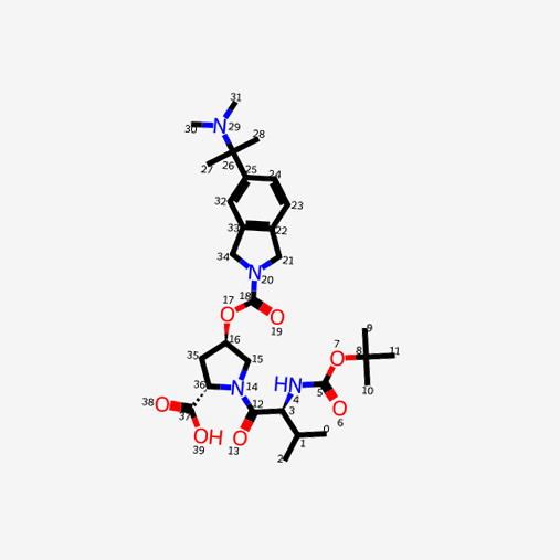 CC(C)[C@H](NC(=O)OC(C)(C)C)C(=O)N1C[C@H](OC(=O)N2Cc3ccc(C(C)(C)N(C)C)cc3C2)C[C@H]1C(=O)O